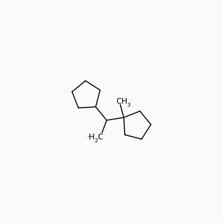 [CH2]C(C1CCCC1)C1(C)CCCC1